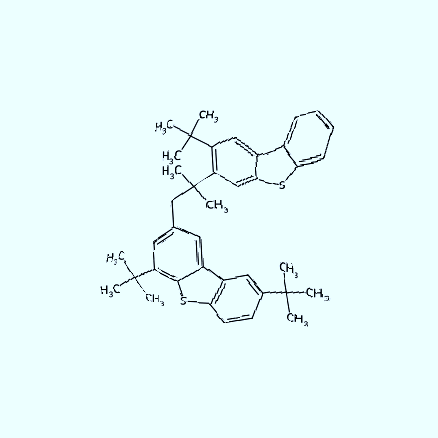 CC(C)(C)c1ccc2sc3c(C(C)(C)C)cc(CC(C)(C)c4cc5sc6ccccc6c5cc4C(C)(C)C)cc3c2c1